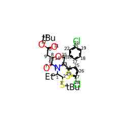 CCC(CSC(C)(C)C)N1C(=O)[C@@H](CC(=O)OC(C)(C)C)O[C@H](c2cccc(Cl)c2)[C@H]1c1ccc(Cl)s1